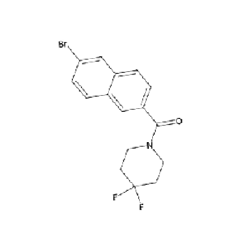 O=C(c1ccc2cc(Br)ccc2c1)N1CCC(F)(F)CC1